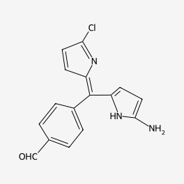 Nc1ccc(/C(=C2/C=CC(Cl)=N2)c2ccc(C=O)cc2)[nH]1